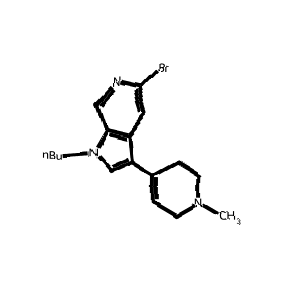 CCCCn1cc(C2=CCN(C)CC2)c2cc(Br)ncc21